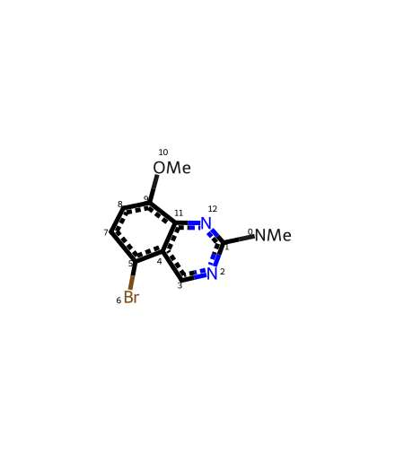 CNc1ncc2c(Br)ccc(OC)c2n1